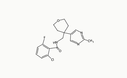 Cc1ncc(C2(CNC(=O)c3c(F)cccc3Cl)CCOCC2)cn1